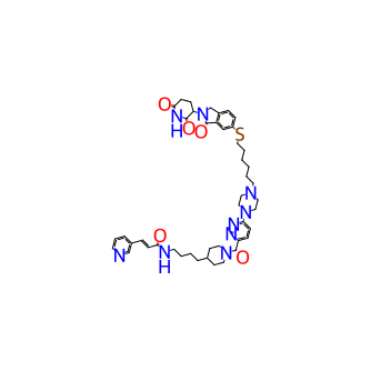 O=C(/C=C/c1cccnc1)NCCCCC1CCN(C(=O)c2ccc(N3CCN(CCCCCCSc4ccc5c(c4)C(=O)N(C4CCC(=O)NC4=O)C5)CC3)nn2)CC1